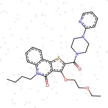 CCCCn1c(=O)c2c(OCCOCC)c(C(=O)N3CCN(c4ccccn4)CC3)sc2c2ccccc21